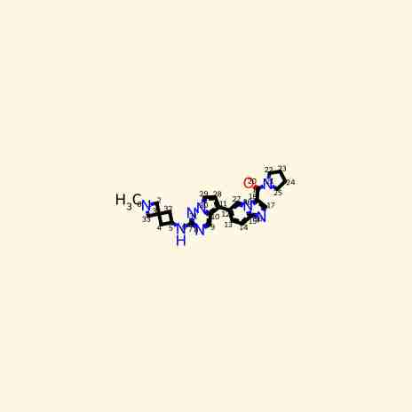 CN1CC2(CC(Nc3ncc4c(-c5ccc6ncc(C(=O)N7CCCC7)n6c5)ccn4n3)C2)C1